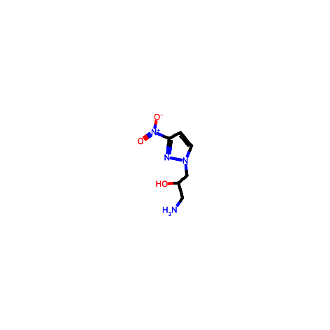 NCC(O)Cn1ccc([N+](=O)[O-])n1